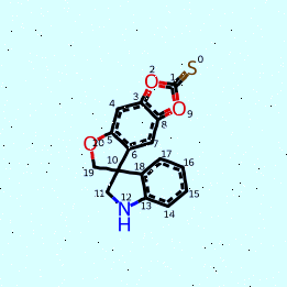 S=c1oc2cc3c(cc2o1)C1(CNc2ccccc21)CO3